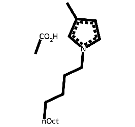 CC(=O)O.CCCCCCCCCCCCn1ccc(C)c1